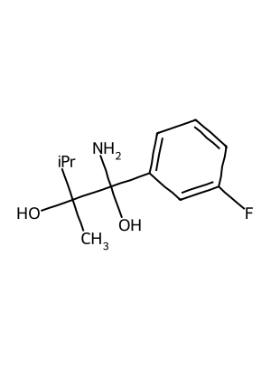 CC(C)C(C)(O)C(N)(O)c1cccc(F)c1